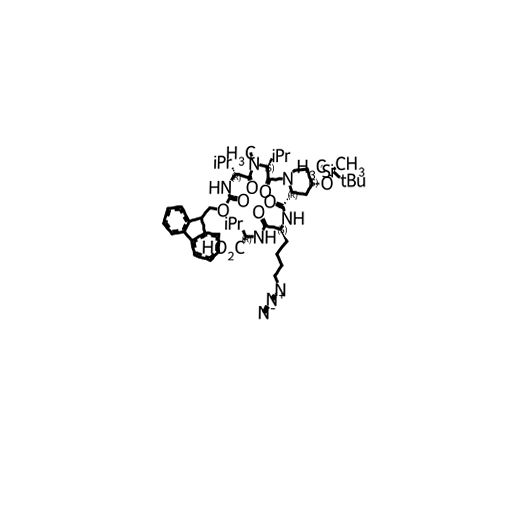 CC(C)[C@@H](C(=O)N1CC[C@H](O[Si](C)(C)C(C)(C)C)C[C@@H]1C(=O)N[C@@H](CCCCN=[N+]=[N-])C(=O)N[C@@H](C(=O)O)C(C)C)N(C)C(=O)[C@H](NC(=O)OCC1c2ccccc2-c2ccccc21)C(C)C